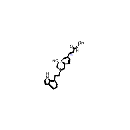 O=C(/C=C/c1ccc(CN(CCO)CCc2cccc3cc[nH]c23)nc1)NO